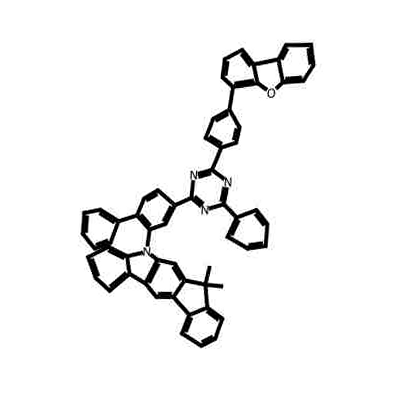 CC1(C)c2ccccc2-c2cc3c4ccccc4n(-c4cc(-c5nc(-c6ccccc6)nc(-c6ccc(-c7cccc8c7oc7ccccc78)cc6)n5)ccc4-c4ccccc4)c3cc21